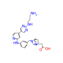 NCCCNc1ncc(-c2ccnc(Nc3cccc(CN4CC5CCC4CN5CC(=O)O)c3)c2)cn1